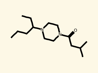 CCCC(CC)N1CCN(C(=O)CC(C)C)CC1